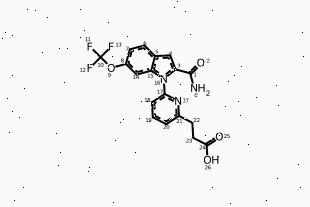 NC(=O)c1cc2ccc(OC(F)(F)F)cc2n1-c1cccc(CCC(=O)O)n1